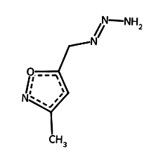 Cc1cc(CN=NN)on1